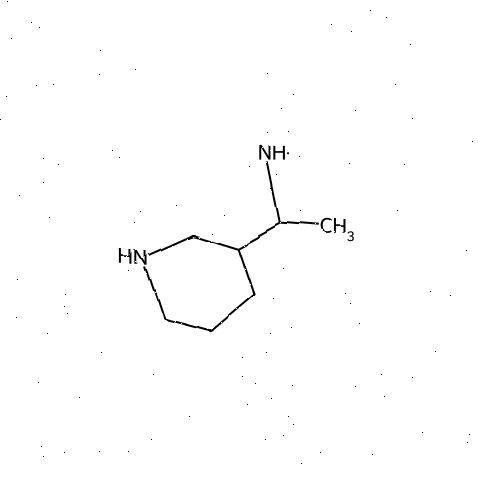 CC([NH])C1CCCNC1